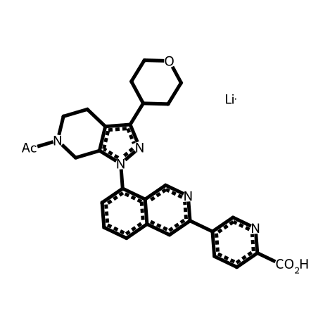 CC(=O)N1CCc2c(C3CCOCC3)nn(-c3cccc4cc(-c5ccc(C(=O)O)nc5)ncc34)c2C1.[Li]